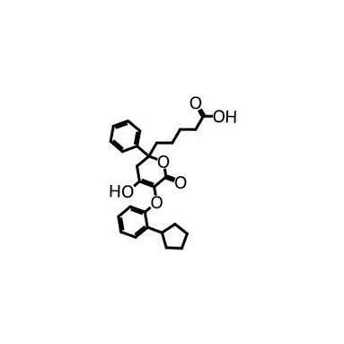 O=C(O)CCCCC1(c2ccccc2)CC(O)=C(Oc2ccccc2C2CCCC2)C(=O)O1